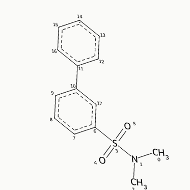 CN(C)S(=O)(=O)c1cccc(-c2cc[c]cc2)c1